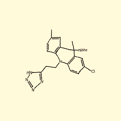 CNC1(C)c2cc(C)ccc2N(CCc2nnn[nH]2)c2ccc(Cl)cc21